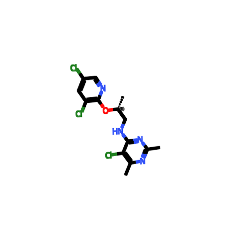 Cc1nc(C)c(Cl)c(NC[C@@H](C)Oc2ncc(Cl)cc2Cl)n1